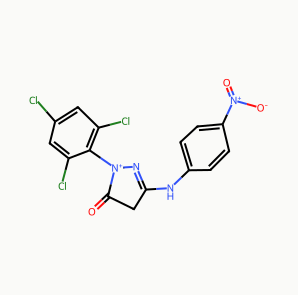 O=C1CC(Nc2ccc([N+](=O)[O-])cc2)=N[N+]1c1c(Cl)cc(Cl)cc1Cl